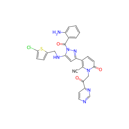 N#Cc1c(-c2cc(NCc3ccc(Cl)s3)n(C(=O)c3ccccc3N)n2)ccc(=O)n1CC(=O)c1ccncn1